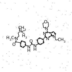 CCn1ccc2c(N3CCOCC3)nc(-c3ccc(NC(=O)Nc4ccc(C(=O)N(C)CCN(C)C)cc4)cc3)nc21